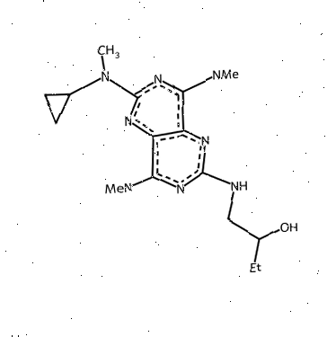 CCC(O)CNc1nc(NC)c2nc(N(C)C3CC3)nc(NC)c2n1